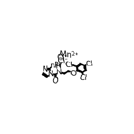 CCCc1nccn1C(=O)NCCOc1c(Cl)cc(Cl)cc1Cl.[Cl-].[Cl-].[Mn+2]